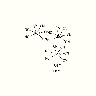 N#[C][Ru-2]([C]#N)([C]#N)([C]#N)([C]#N)[C]#N.N#[C][Ru-2]([C]#N)([C]#N)([C]#N)([C]#N)[C]#N.N#[C][Ru-2]([C]#N)([C]#N)([C]#N)([C]#N)[C]#N.[Os+3].[Os+3]